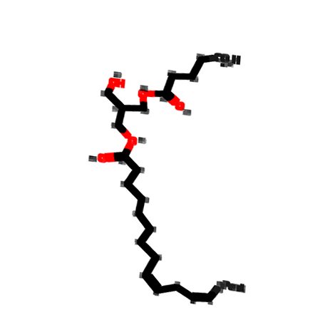 CCCCC/C=C\C/C=C\CCCCCCCC(=O)OCC(CO)COC(=O)CCCC(=O)O